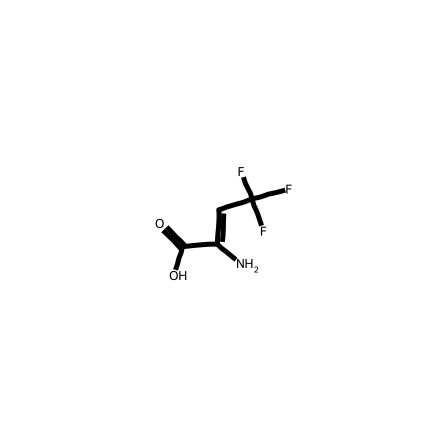 N/C(=C\C(F)(F)F)C(=O)O